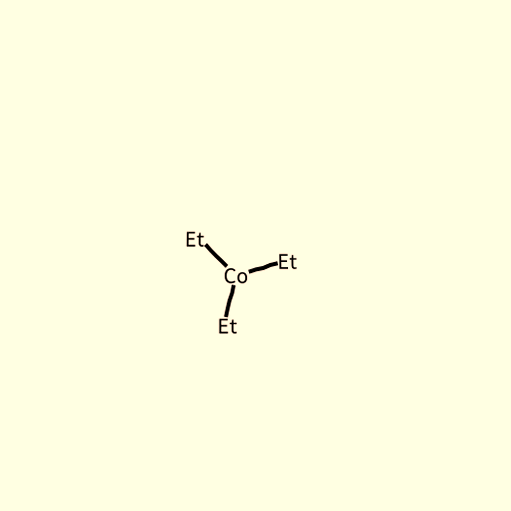 C[CH2][Co]([CH2]C)[CH2]C